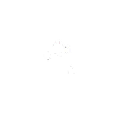 CS(=O)(=O)NCCSc1nonc1/C(=N\O)Nc1ccc(F)c(Cl)c1